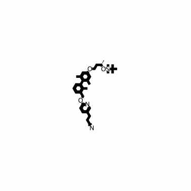 Cc1cc(OCC[C@H](C)O[Si](C)(C)C(C)(C)C)cc(C)c1-c1cccc(COc2ccc(CCC#N)cn2)c1C